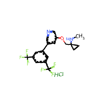 CNC1(COc2cncc(-c3cc(C(F)(F)F)cc(C(F)(F)F)c3)c2)CC1.Cl